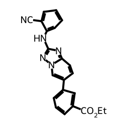 CCOC(=O)c1cccc(-c2ccc3nc(Nc4ccccc4C#N)nn3c2)c1